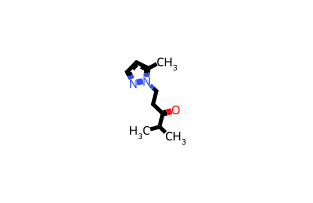 Cc1ccnn1CCC(=O)C(C)C